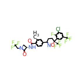 Cc1cc(C2=NO[C@](c3cc(C(F)(F)F)cc(Cl)c3F)(C(F)(F)F)CC2)ccc1C(=O)N[C@H]1CN(CC(F)(F)F)C1=O